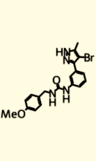 COc1ccc(CNC(=O)Nc2cccc(-c3n[nH]c(C)c3Br)c2)cc1